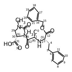 C[C@@H](N[C@@H](CCc1ccccc1)C(=O)OCc1ccccc1)C(=O)N1C(=O)N(C)C[C@H]1C(=O)O